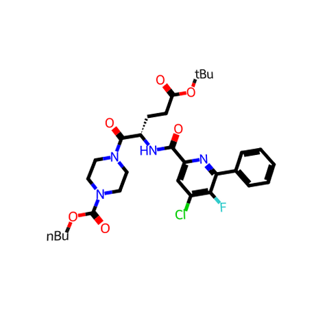 CCCCOC(=O)N1CCN(C(=O)[C@H](CCC(=O)OC(C)(C)C)NC(=O)c2cc(Cl)c(F)c(-c3ccccc3)n2)CC1